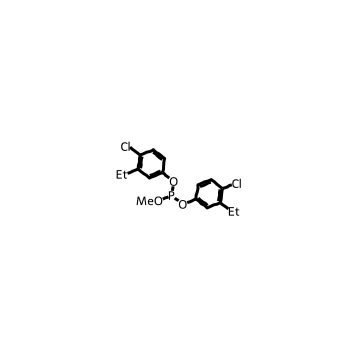 CCc1cc(OP(OC)Oc2ccc(Cl)c(CC)c2)ccc1Cl